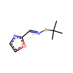 CC(C)(C)S/N=C/c1ncco1